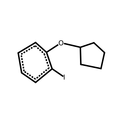 Ic1ccccc1OC1CCCC1